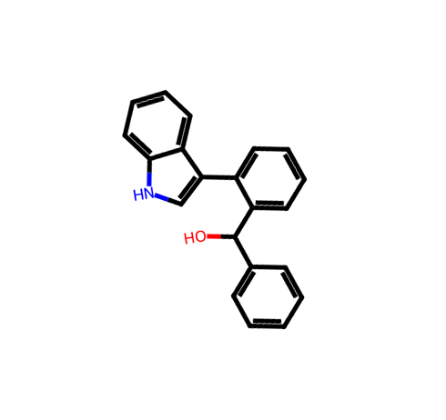 OC(c1ccccc1)c1ccccc1-c1c[nH]c2ccccc12